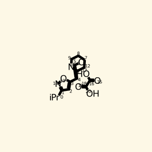 CC(C)c1cc(C=C2CC3CCN2CC3)on1.O=C(O)C(=O)O